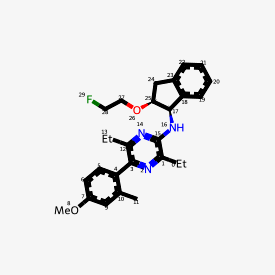 CCc1nc(-c2ccc(OC)cc2C)c(CC)nc1N[C@@H]1c2ccccc2C[C@@H]1OCCF